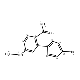 CNc1ccc(C(N)=O)c(-c2ccc(Br)cc2)c1